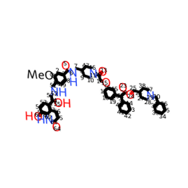 COc1cc(C(=O)NCC2CCN(C(=O)COc3cccc(C(C(=O)OCC4CCN(Cc5ccccc5)CC4)c4ccccc4)c3)CC2)ccc1CNC[C@H](O)c1ccc(O)c2[nH]c(=O)ccc12